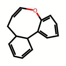 C1=CC2C/C=C\Oc3ccccc3C2C=C1